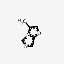 Cc1coc2cncn12